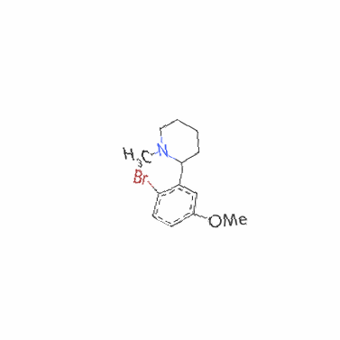 COc1ccc(Br)c(C2CCCCN2C)c1